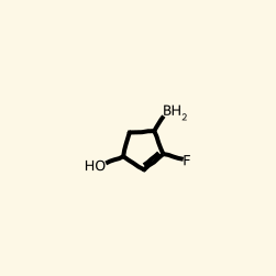 BC1CC(O)C=C1F